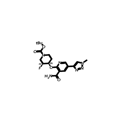 Cn1cc(-c2cnc(O[C@@H]3CCN(C(=O)OC(C)(C)C)C[C@@H]3F)c(C(N)=O)c2)nn1